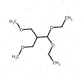 CCOC(OCC)C(COC)COC